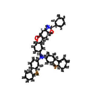 c1ccc(-c2nc3cc4oc5ccc(N(c6ccc7c(c6)sc6ccccc67)c6ccc7c(c6)sc6ccccc67)cc5c4cc3o2)cc1